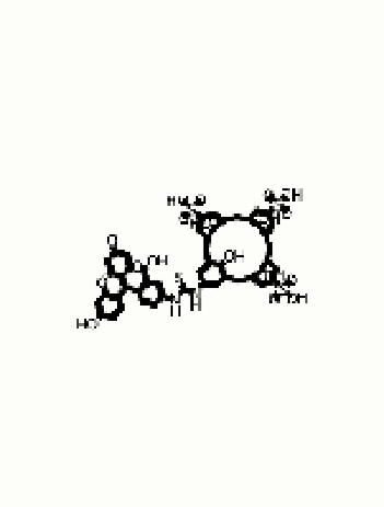 O=C(O)c1cc(NC(=S)NC2=CC3CC4=CC(S(=O)(=O)O)=CC(CC5=CC(S(=O)(=O)O)=CC(CC6=CC(S(=O)(=O)O)=CC(CC(=C2)C3O)C6O)C5O)C4O)ccc1-c1c2ccc(=O)cc-2oc2cc(O)ccc12